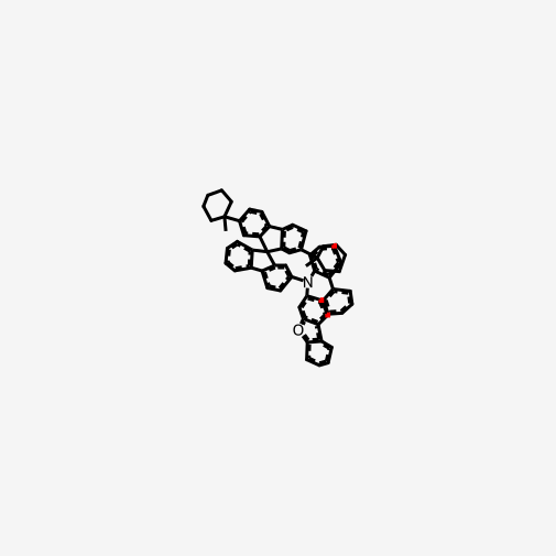 CC1(c2ccc3c(c2)C2(c4ccccc4-c4ccc(N(c5ccc6c(c5)oc5ccccc56)c5ccccc5-c5ccccc5)cc42)c2cc(C4(C)CCCCC4)ccc2-3)CCCCC1